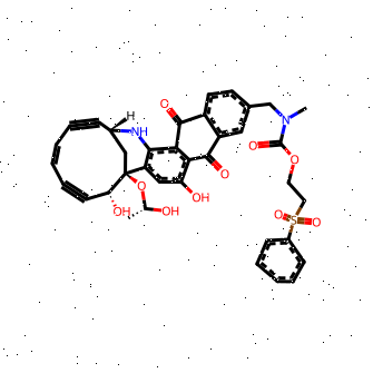 C[C@@H](O)O[C@]12C[C@H](C#C/C=C\C#C[C@H]1O)Nc1c2cc(O)c2c1C(=O)c1ccc(CN(C)C(=O)OCCS(=O)(=O)c3ccccc3)cc1C2=O